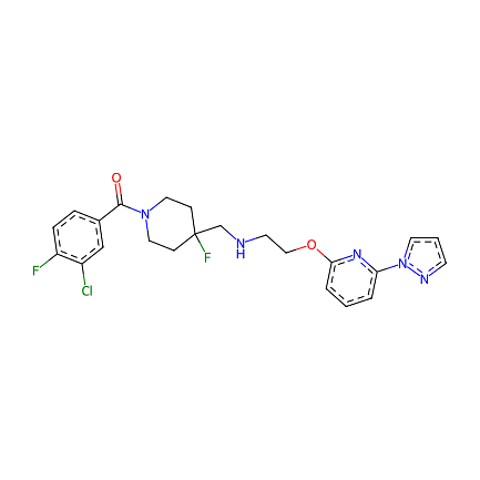 O=C(c1ccc(F)c(Cl)c1)N1CCC(F)(CNCCOc2cccc(-n3cccn3)n2)CC1